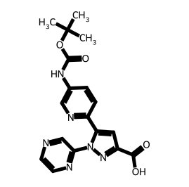 CC(C)(C)OC(=O)Nc1ccc(-c2cc(C(=O)O)nn2-c2cnccn2)nc1